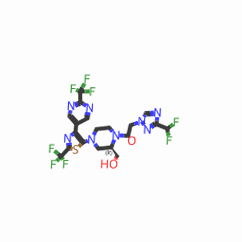 O=C(Cn1cnc(C(F)F)n1)N1CCN(c2sc(C(F)(F)F)nc2-c2cnc(C(F)(F)F)nc2)C[C@@H]1CO